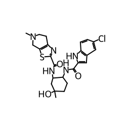 CN1CCc2nc(C(=O)NC3CC(C)(O)CCC3NC(=O)c3cc4cc(Cl)ccc4[nH]3)sc2C1